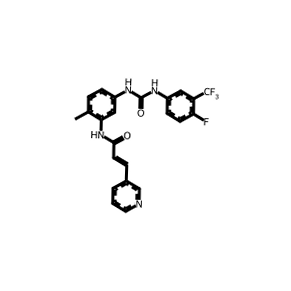 Cc1ccc(NC(=O)Nc2ccc(F)c(C(F)(F)F)c2)cc1NC(=O)C=Cc1cccnc1